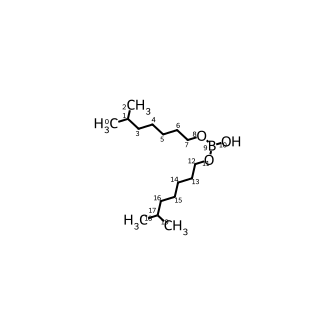 CC(C)CCCCCOB(O)OCCCCCC(C)C